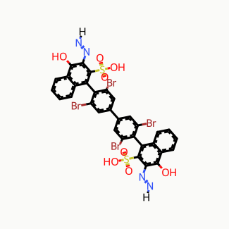 [H]/N=N/c1c(S(=O)(=O)O)c(-c2c(Br)cc(-c3cc(Br)c(-c4c(S(=O)(=O)O)c(/N=N/[H])c(O)c5ccccc45)c(Br)c3)cc2Br)c2ccccc2c1O